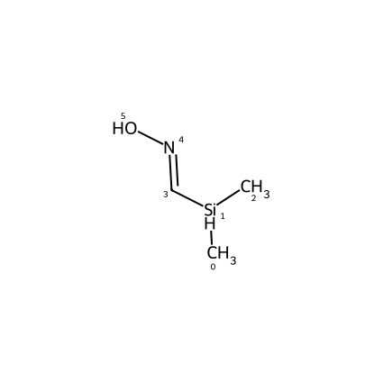 C[SiH](C)C=NO